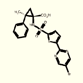 C[C@]1(c2ccccc2)C[C@@]1(NS(=O)(=O)c1ccc(-c2ncc(Br)cn2)s1)C(=O)O